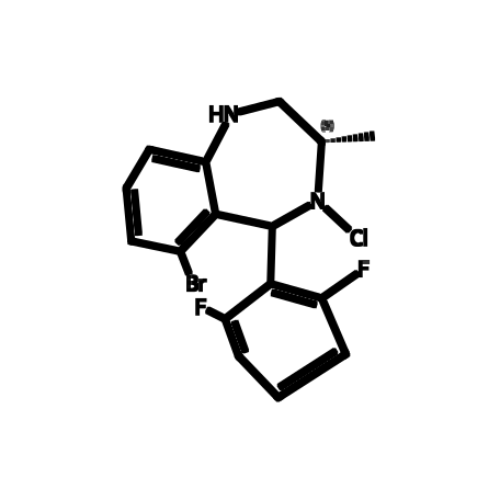 C[C@H]1CNc2cccc(Br)c2C(c2c(F)cccc2F)N1Cl